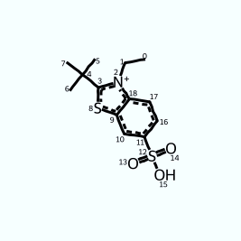 CC[n+]1c(C(C)(C)C)sc2cc(S(=O)(=O)O)ccc21